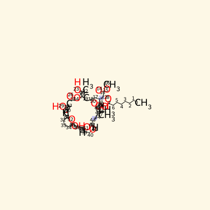 CCCCCCCC(=O)O[C@H]1/C(=C/C(=O)OC)CC2CC([C@@H](C)O)OC(=O)C[C@H](O)C[C@@H]3CCC[C@](O)(C[C@@H]4CCO[C@H](/C=C/C(C)(C)[C@]1(O)O2)O4)O3